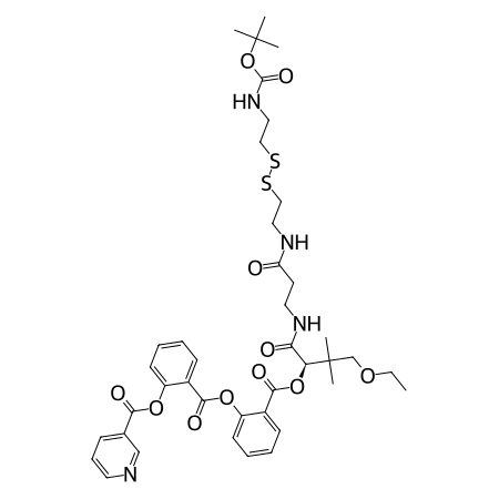 CCOCC(C)(C)[C@@H](OC(=O)c1ccccc1OC(=O)c1ccccc1OC(=O)c1cccnc1)C(=O)NCCC(=O)NCCSSCCNC(=O)OC(C)(C)C